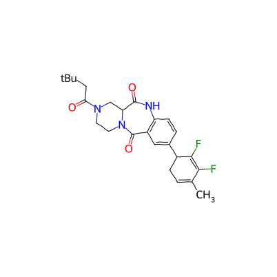 CC1=CCC(c2ccc3c(c2)C(=O)N2CCN(C(=O)CC(C)(C)C)CC2C(=O)N3)C(F)=C1F